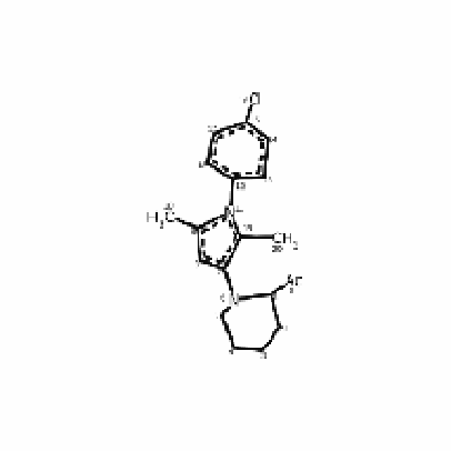 CC(=O)C1CCCCN1c1cc(C)n(-c2ccc(Cl)cc2)c1C